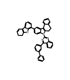 C1=Cc2c(oc3c(-c4ccc5c(c4)c4c(n5-c5nc(-c6cccc(-c7ccccc7)c6)c6ccccc6n5)CCc5ccccc5-4)cccc23)CC1